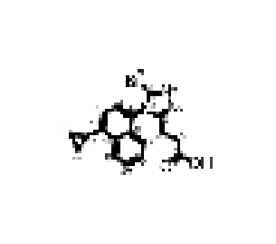 O=C(O)CCc1nnc(Br)n1-c1ccc(C2CC2)c2ccccc12